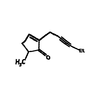 CCC#CCC1=CCC(C)C1=O